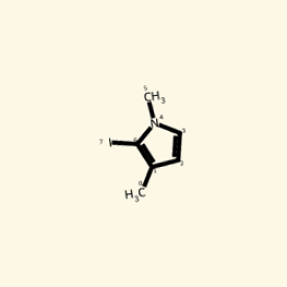 Cc1ccn(C)c1I